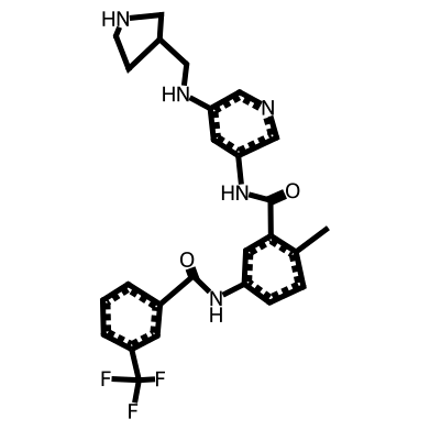 Cc1ccc(NC(=O)c2cccc(C(F)(F)F)c2)cc1C(=O)Nc1cncc(NCC2CCNC2)c1